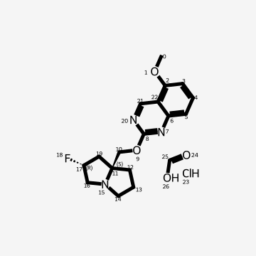 COc1cccc2nc(OC[C@@]34CCCN3C[C@H](F)C4)ncc12.Cl.O=CO